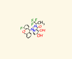 CC(N1CN(C2C3=C(OCc4ccccc42)C(F)CC=C3)N2C=CC(O)C(O)=C2C1=O)C(F)(F)F